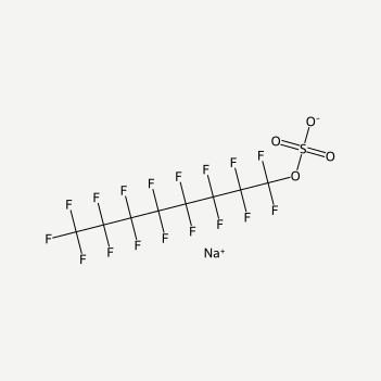 O=S(=O)([O-])OC(F)(F)C(F)(F)C(F)(F)C(F)(F)C(F)(F)C(F)(F)C(F)(F)C(F)(F)F.[Na+]